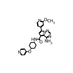 COc1cc(-c2cc(C(=O)N[C@H]3CC[C@H](Oc4ccncc4)CC3)c3c(N)ncnn23)ccn1